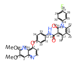 COc1cc2nccc(Oc3ccc(NC(=O)c4c(C)c(C)c(C)n(-c5ccc(F)cc5)c4=O)cc3)c2nc1OC